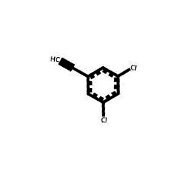 C#Cc1cc(Cl)[c]c(Cl)c1